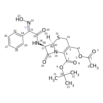 CC(=O)OCC1=C(C(=O)OC(C)(C)C)N2C(=O)[C@@H](NC(=O)/C(=N/O)c3ccccc3)[C@H]2SC1